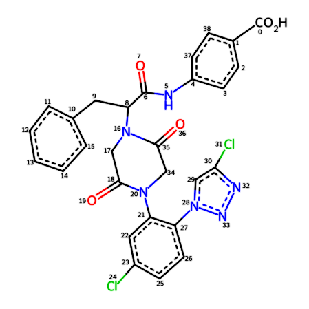 O=C(O)c1ccc(NC(=O)C(Cc2ccccc2)N2CC(=O)N(c3cc(Cl)ccc3-n3cc(Cl)nn3)CC2=O)cc1